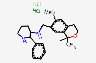 COc1cc2c(cc1CNC1CCCNC1c1ccccc1)C(C)(C(F)(F)F)OCC2.Cl.Cl